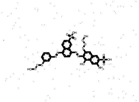 Nc1cc2c(O)c(N=Nc3ccc(N=Nc4cccc(SOOO)c4)c4ccc(S(=O)(=O)O)cc34)c(SOOO)cc2cc1S(=O)(=O)O